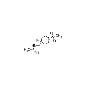 CC(S)NCC1(F)CCN(S(C)(=O)=O)CC1